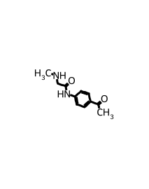 CNCC(=O)Nc1ccc(C(C)=O)cc1